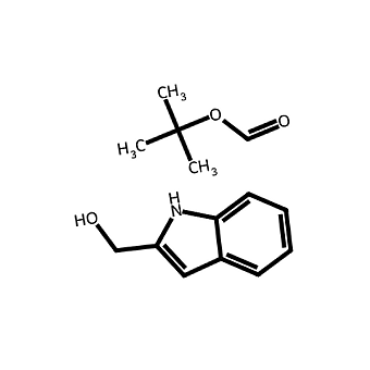 CC(C)(C)OC=O.OCc1cc2ccccc2[nH]1